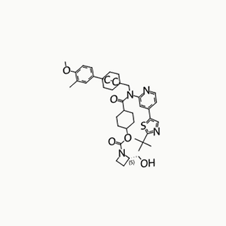 COc1ccc(C23CCC(CN(C(=O)C4CCC(OC(=O)N5CC[C@H]5CO)CC4)c4cc(-c5cnc(C(C)(C)C)s5)ccn4)(CC2)CC3)cc1C